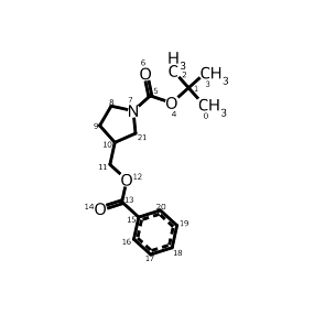 CC(C)(C)OC(=O)N1CCC(COC(=O)c2ccccc2)C1